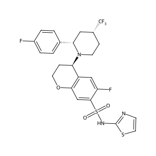 O=S(=O)(Nc1nccs1)c1cc2c(cc1F)[C@H](N1CC[C@@H](C(F)(F)F)C[C@H]1c1ccc(F)cc1)CCO2